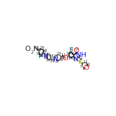 O=c1[nH]c(CSC2CCOCC2)nc2cc(OCC3CCN(CC4CCN(c5ccc([N+](=O)[O-])cc5F)CC4)CC3)cc(F)c12